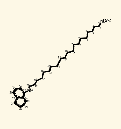 CCCCCCCCCCCCCCCCCCCCCCCCCCCCCCNc1cccc2ccccc12